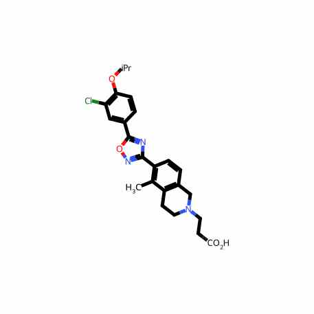 Cc1c(-c2noc(-c3ccc(OC(C)C)c(Cl)c3)n2)ccc2c1CCN(CCC(=O)O)C2